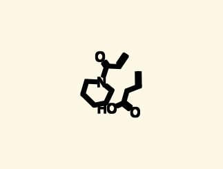 C=CC(=O)N1CCCCC1.C=CCC(=O)O